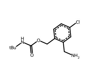 CC(C)(C)NC(=O)OCc1ccc(Cl)cc1CN